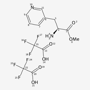 COC(=O)[C@@H](N)Cc1cccnc1.O=C(O)C(F)(F)F.O=C(O)C(F)(F)F